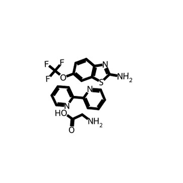 NCC(=O)O.Nc1nc2ccc(OC(F)(F)F)cc2s1.c1ccc(-c2ccccn2)nc1